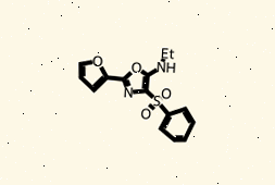 CCNc1oc(-c2ccco2)nc1S(=O)(=O)c1ccccc1